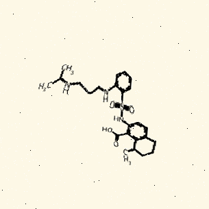 CC(C)NCCCNc1ccccc1S(=O)(=O)Nc1ccc2c(c1C(=O)O)C(C)CCC2